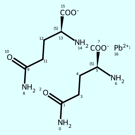 NC(=O)CC[C@H](N)C(=O)[O-].NC(=O)CC[C@H](N)C(=O)[O-].[Pb+2]